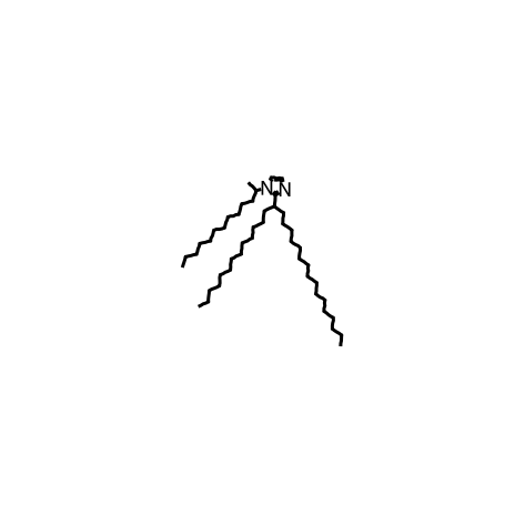 CCCCCCCCCCCCCCCCC(CCCCCCCCCCCCC)c1nccn1C(C)CCCCCCCCCCC